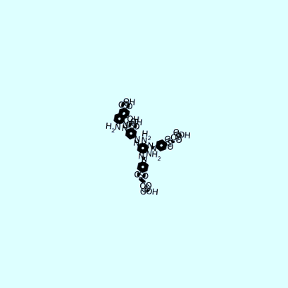 Nc1ccc2cc(S(=O)(=O)O)cc(O)c2c1/N=N/c1ccc(/N=N/c2cc(/N=N/c3ccc(S(=O)(=O)CCOS(=O)(=O)O)cc3)c(N)c(/N=N/c3ccc(S(=O)(=O)COS(=O)(=O)O)cc3)c2N)cc1S(=O)(=O)O